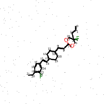 CCCC1(F)COC(CCC2CCC(/C=C/c3ccc(CC)c(F)c3)CC2)OC1